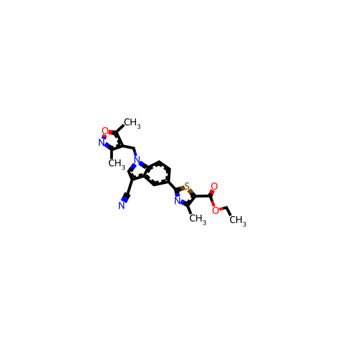 CCOC(=O)c1sc(-c2ccc3c(c2)c(C#N)cn3Cc2c(C)noc2C)nc1C